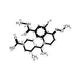 CO/N=C1\CCN([C@@H](C)[C@H]2CCN(C(=O)O)C[C@H]2C)c2cc(C(=O)NN)cc(F)c21